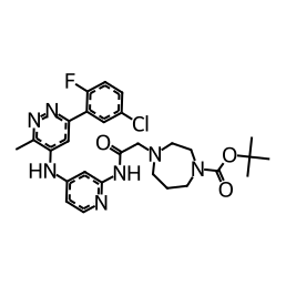 Cc1nnc(-c2cc(Cl)ccc2F)cc1Nc1ccnc(NC(=O)CN2CCCN(C(=O)OC(C)(C)C)CC2)c1